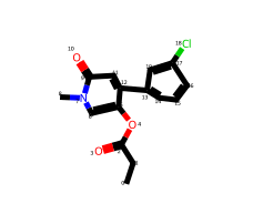 CCC(=O)Oc1cn(C)c(=O)cc1-c1cccc(Cl)c1